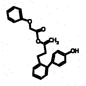 C=C(CCc1ccccc1-c1ccc(O)cc1)OC(=O)COc1ccccc1